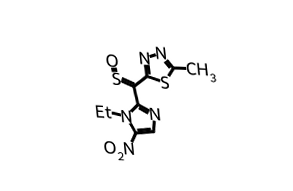 CCn1c([N+](=O)[O-])cnc1C(=S=O)c1nnc(C)s1